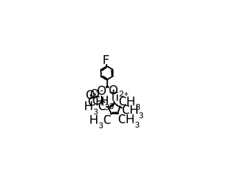 CC1=C(C)C(C)(C)[C]([Ti+2][O]C(=O)c2ccc(F)cc2)=C1C.C[O-].C[O-]